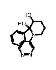 OC1CCCN(c2ccnnc2)C1(O)c1ccccc1